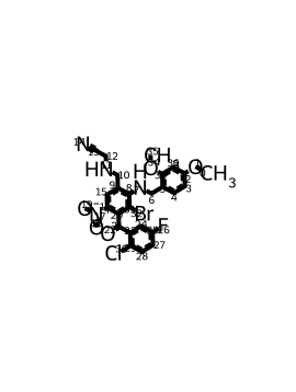 COc1ccc(CNc2c(CNCC#N)cc([N+](=O)[O-])c(C(=O)c3cc(F)ccc3Cl)c2Br)c(OC)c1